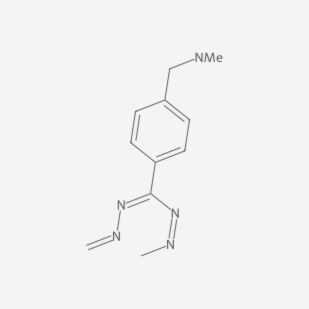 C=N/N=C(\N=N/C)c1ccc(CNC)cc1